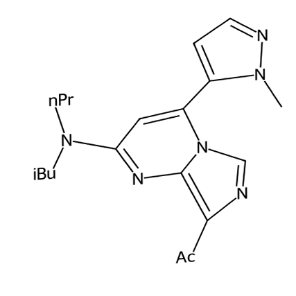 CCCN(c1cc(-c2ccnn2C)n2cnc(C(C)=O)c2n1)C(C)CC